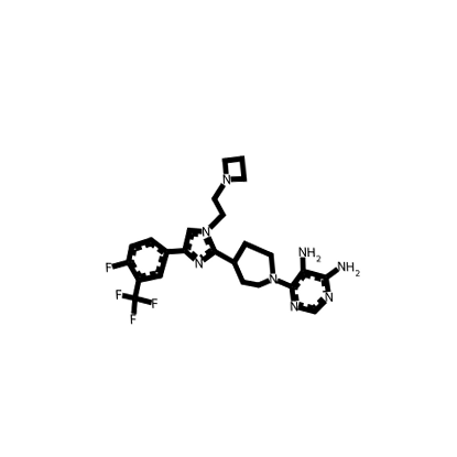 Nc1ncnc(N2CCC(c3nc(-c4ccc(F)c(C(F)(F)F)c4)cn3CCN3CCC3)CC2)c1N